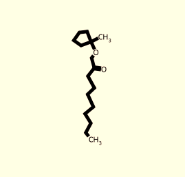 CCCCCCCCC(=O)COC1(C)CCCC1